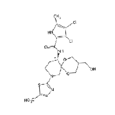 Cc1[nH]c(C(=O)N[C@@H]2CCN(c3ncc(C(=O)O)s3)CC23OCC(CO)CO3)c(Cl)c1Cl